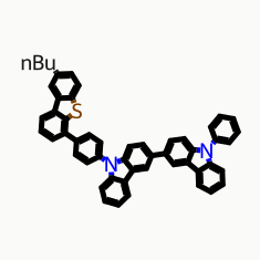 CCCCc1ccc2sc3c(-c4ccc(-n5c6ccccc6c6cc(-c7ccc8c(c7)c7ccccc7n8-c7ccccc7)ccc65)cc4)cccc3c2c1